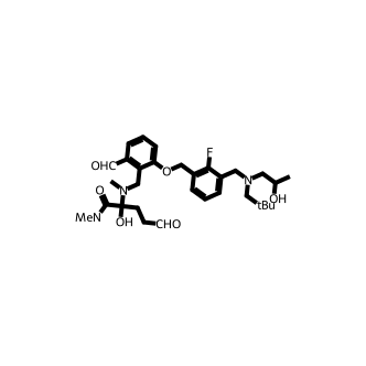 CNC(=O)C(O)(CCC=O)N(C)Cc1c(C=O)cccc1OCc1cccc(CN(CC(C)O)CC(C)(C)C)c1F